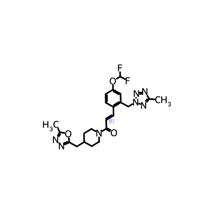 Cc1nnn(Cc2cc(OC(F)F)ccc2/C=C/C(=O)N2CCC(Cc3nnc(C)o3)CC2)n1